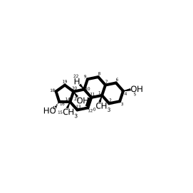 C[C@]12CC[C@H](O)CC1CC[C@@H]1C2=CC[C@]2(C)[C@H](O)CC[C@]12O